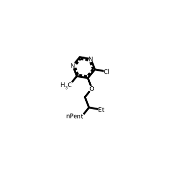 CCCCCC(CC)COc1c(C)ncnc1Cl